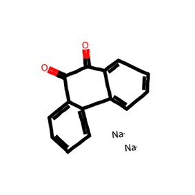 O=C1C(=O)c2ccccc2-c2ccccc21.[Na].[Na]